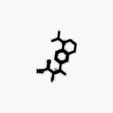 C/C(=C(\F)C(=O)O)c1ccc2c(c1)CCCN2C(C)C